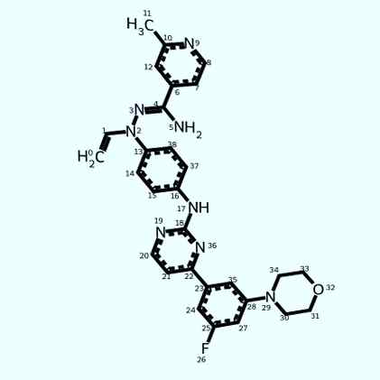 C=CN(/N=C(\N)c1ccnc(C)c1)c1ccc(Nc2nccc(-c3cc(F)cc(N4CCOCC4)c3)n2)cc1